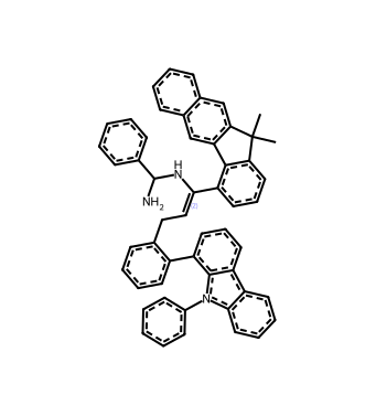 CC1(C)c2cc3ccccc3cc2-c2c(/C(=C/Cc3ccccc3-c3cccc4c5ccccc5n(-c5ccccc5)c34)NC(N)c3ccccc3)cccc21